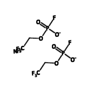 O=P([O-])(F)OCC(F)(F)F.O=P([O-])(F)OCC(F)(F)F.[Ni+2]